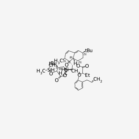 C=CCc1ccccc1OC(CC)C(=O)O[C@H]1C[C@H](C(C)(C)C)C=C2C=C[C@H](C)[C@](CC[C@@H]3C[C@H](C(C)(C)C)C(O[SiH](C)C)C(=O)O3)(O[SiH](C)C)[C@H]21